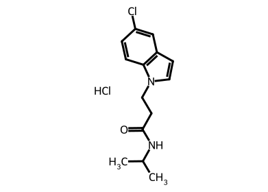 CC(C)NC(=O)CCn1ccc2cc(Cl)ccc21.Cl